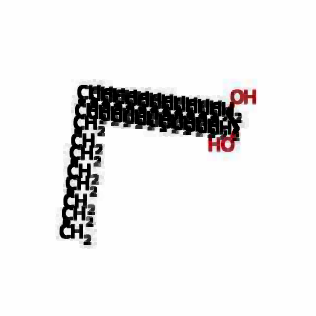 C=C.C=C.C=C.C=C.C=C.C=C.C=C.C=C.C=C.C=C.C=C.C=C.C=C.C=C.C=C.C=C.OCCO